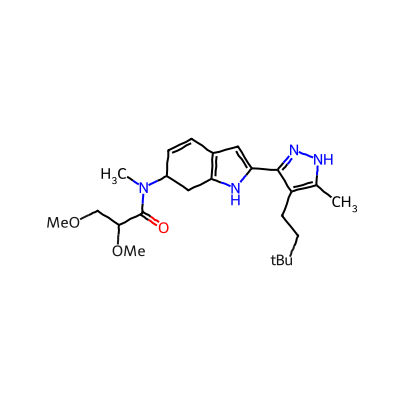 COCC(OC)C(=O)N(C)C1C=Cc2cc(-c3n[nH]c(C)c3CCC(C)(C)C)[nH]c2C1